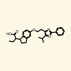 CCC(C(=O)O)C1CCc2cc(OCCc3nc(-c4ccccc4)oc3C(C)C)ccc21